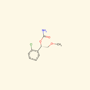 COC[C@@H](OC(N)=O)c1ccccc1Cl